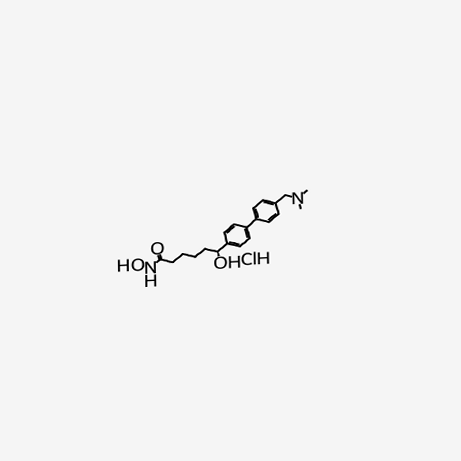 CN(C)Cc1ccc(-c2ccc([C@@H](O)CCCCC(=O)NO)cc2)cc1.Cl